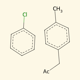 CC(=O)Cc1ccc(C)cc1.Clc1ccccc1